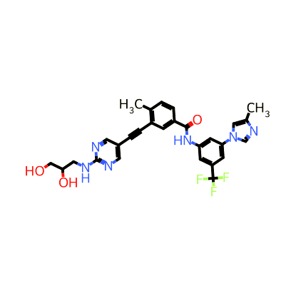 Cc1cn(-c2cc(NC(=O)c3ccc(C)c(C#Cc4cnc(NCC(O)CO)nc4)c3)cc(C(F)(F)F)c2)cn1